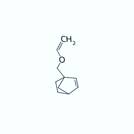 C=COCC12C=CC(CC1)C2